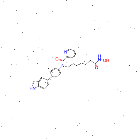 O=C(CCCCCCN(C(=O)c1ccccn1)c1ccc(-c2ccc3[nH]ccc3c2)cc1)NO